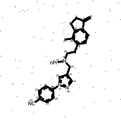 C=C1CCc2c1ccc(CCN(CCC)Cc1cnn(-c3ccc(C#N)cc3)c1)c2C